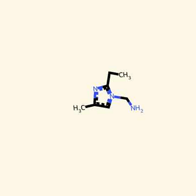 CCc1nc(C)cn1CN